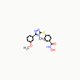 COc1cccc(-c2nnc(Sc3ccc(C(=O)NO)cc3)n2C)c1